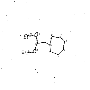 CCOC(OCC)C1CCCCCC1